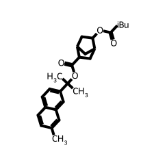 CCC(C)C(=O)OC1CC2CC1CC2C(=O)OC(C)(C)c1ccc2ccc(C)cc2c1